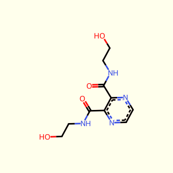 O=C(NCCO)c1nccnc1C(=O)NCCO